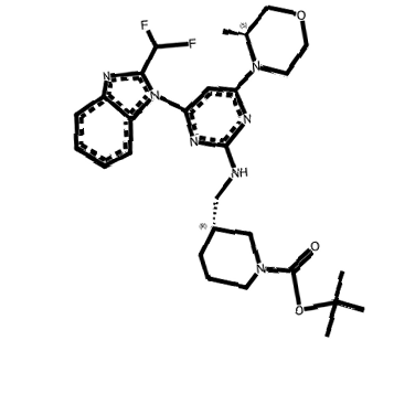 C[C@H]1COCCN1c1cc(-n2c(C(F)F)nc3ccccc32)nc(NC[C@H]2CCCN(C(=O)OC(C)(C)C)C2)n1